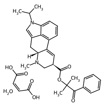 CC(C)n1cc2c3c(cccc31)C1=C[C@@H](C(=O)OC(C)(C)C(=O)c3ccccc3)CN(C)[C@@H]1C2.O.O=C(O)/C=C\C(=O)O